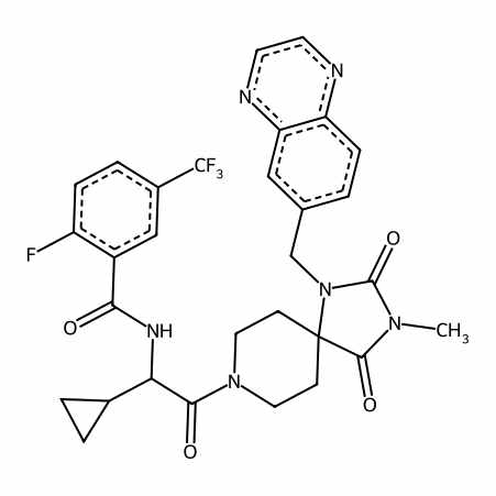 CN1C(=O)N(Cc2ccc3nccnc3c2)C2(CCN(C(=O)C(NC(=O)c3cc(C(F)(F)F)ccc3F)C3CC3)CC2)C1=O